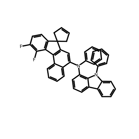 Fc1ccc2c(c1F)-c1c(cc(N(c3ccccc3)c3cccc4c5ccccc5n(-c5ccccc5)c34)c3ccccc13)C21CC=CC1